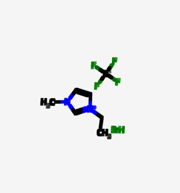 Br.CC[n+]1ccn(C)c1.F[B-](F)(F)F